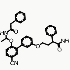 CC(NC(=O)Cc1ccccc1)Oc1ccc(C#N)cc1-c1cccc(OCCC(C(N)=O)c2ccccc2)c1